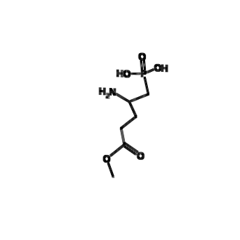 COC(=O)CCC(N)CP(=O)(O)O